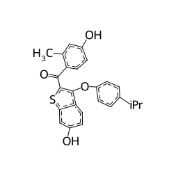 Cc1cc(O)ccc1C(=O)c1sc2cc(O)ccc2c1Oc1ccc(C(C)C)cc1